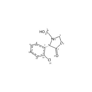 O=C1OCN(C(=O)O)[C@H]1c1ccccc1Cl